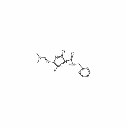 CN(C)C=Nc1nc(=O)n(C(=O)NCc2ccccc2)cc1F